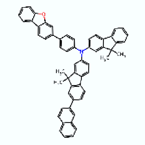 CC1(C)c2ccccc2-c2ccc(N(c3ccc(-c4ccc5c(c4)oc4ccccc45)cc3)c3ccc4c(c3)C(C)(C)c3cc(-c5ccc6ccccc6c5)ccc3-4)cc21